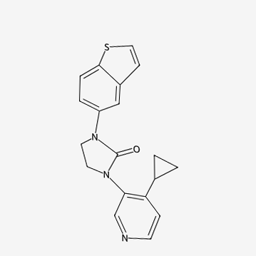 O=C1N(c2ccc3sccc3c2)CCN1c1cnccc1C1CC1